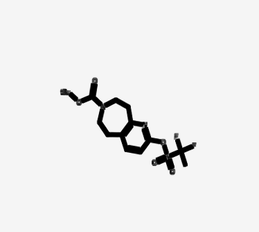 CC(C)(C)OC(=O)N1CCc2ccc(OS(=O)(=O)C(C)(F)F)nc2CC1